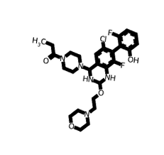 CCC(=O)N1CCN(C2NC(OCCN3CCOCC3)Nc3c2cc(Cl)c(-c2c(O)cccc2F)c3F)CC1